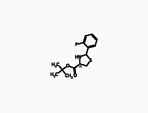 CC(C)(C)OC(=O)[C@@H]1CSC(c2ccccc2F)N1